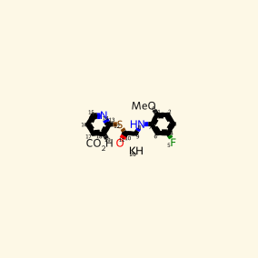 COc1ccc(F)cc1NCC(=O)Sc1ncccc1C(=O)O.[KH]